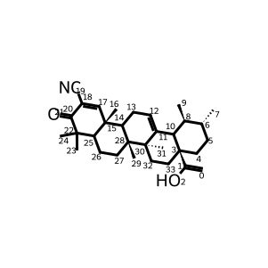 C=C(O)[C@]12CC[C@@H](C)[C@H](C)C1C1=CCC3[C@@]4(C)C=C(C#N)C(=O)C(C)(C)C4CC[C@@]3(C)[C@]1(C)CC2